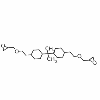 CC(C)(C1CCC(CCOCC2CO2)CC1)C1CCC(CCOCC2CO2)CC1